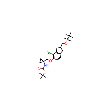 CC(C)(C)OC(=O)NC1(COc2ccc3c(c2Br)CC(CO[Si](C)(C)C(C)(C)C)C3)CC1